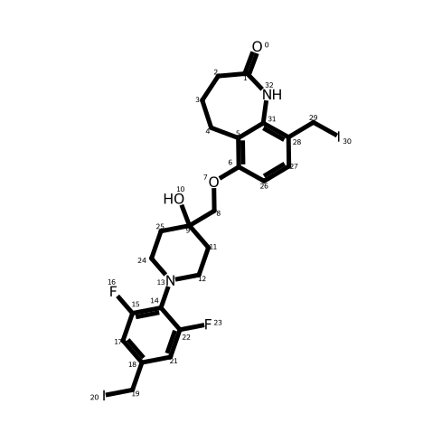 O=C1CCCc2c(OCC3(O)CCN(c4c(F)cc(CI)cc4F)CC3)ccc(CI)c2N1